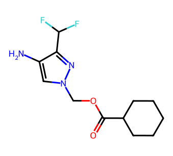 Nc1cn(COC(=O)C2CCCCC2)nc1C(F)F